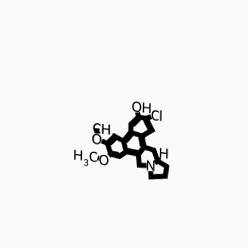 COc1cc2c3c(c4cc(Cl)c(O)cc4c2cc1OC)C[C@@H]1CCCN1C3